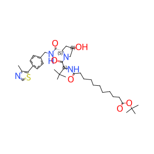 Cc1ncsc1-c1ccc(CNC(=O)[C@@H]2C[C@@H](O)CN2C(=O)[C@@H](NC(=O)CCCCCCCCCC(=O)OC(C)(C)C)C(C)(C)C)cc1